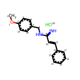 COc1ccc(CNC(=N)/C=C/c2ccccc2)cc1.Cl